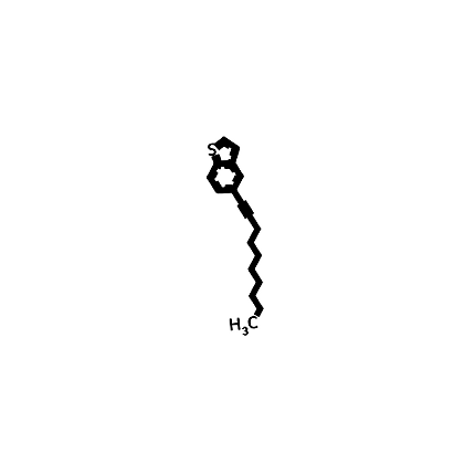 CCCCCCCCC#Cc1ccc2sccc2c1